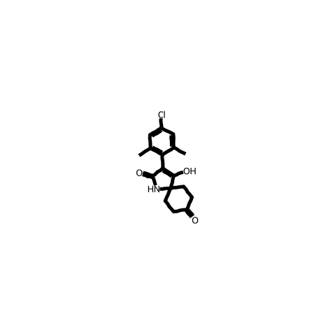 Cc1cc(Cl)cc(C)c1C1=C(O)C2(CCC(=O)CC2)NC1=O